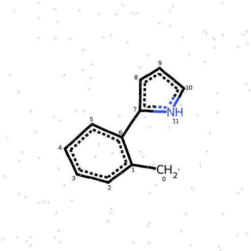 [CH2]c1ccccc1-c1ccc[nH]1